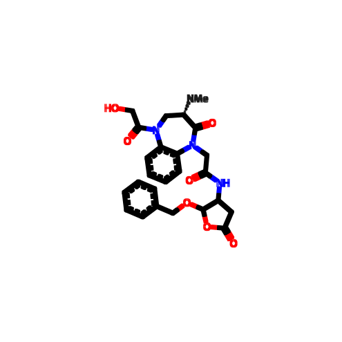 CN[C@H]1CN(C(=O)CO)c2ccccc2N(CC(=O)NC2CC(=O)OC2OCc2ccccc2)C1=O